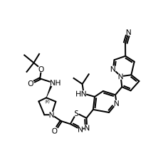 CC(C)Nc1cc(-c2ccc3cc(C#N)cnn23)ncc1-c1nnc(C(=O)N2CC[C@@H](NC(=O)OC(C)(C)C)C2)s1